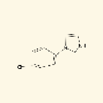 Clc1ccc(N2C=CNC2)cc1